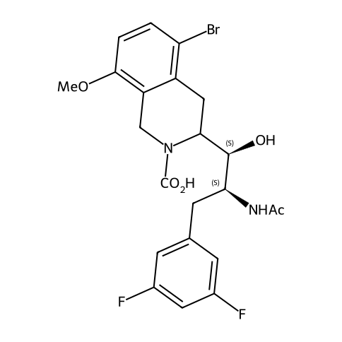 COc1ccc(Br)c2c1CN(C(=O)O)C([C@@H](O)[C@H](Cc1cc(F)cc(F)c1)NC(C)=O)C2